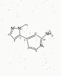 Cn1nccc1-c1ccnc(N)c1